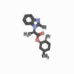 CCc1nc2ccccc2n1[C@H](C)C(=O)O[C@@H]1CC(C)CC[C@H]1C(C)C